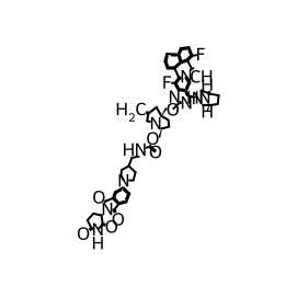 C#Cc1c(F)ccc2cccc(-c3ncc4c(N5C[C@H]6CC[C@@H](C5)N6)nc(OC[C@@]56CC[C@@H](COC(=O)NCCC7CCN(c8ccc9c(c8)C(=O)N(C8CCC(=O)NC8=O)C9=O)CC7)N5CC(=C)C6)nc4c3F)c12